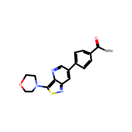 CNC(=O)c1ccc(-c2cnc3c(N4CCOCC4)snc3c2)cc1